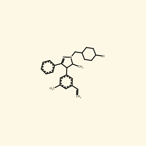 C=Cc1cc(C)cc(C2C(c3ccccc3)=NN(CC3CCC(CC)CC3)C2C)c1